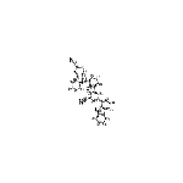 N#Cc1ccc2c(c1)c1ccccc1n2-c1cccc2c1sc1c(C#N)cc(-c3cccc4c3oc3ccccc34)cc12